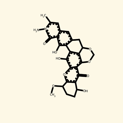 COC1CCC(O)c2c1oc1c(O)c3c4c(c1c2=O)OCOC4Cc1cc2cc(C)n(N)c(=O)c2c(O)c1-3